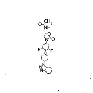 CC(=O)NC[C@H]1CN(c2cc(F)c(N3CCC(n4nnc5ccccc54)CC3)c(F)c2)C(=O)O1